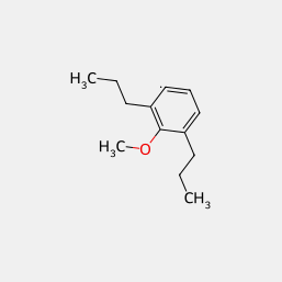 CCCc1[c]ccc(CCC)c1OC